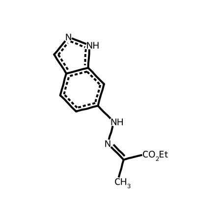 CCOC(=O)/C(C)=N\Nc1ccc2cn[nH]c2c1